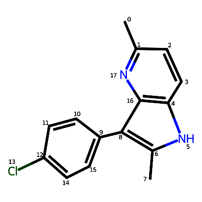 Cc1ccc2[nH]c(C)c(-c3ccc(Cl)cc3)c2n1